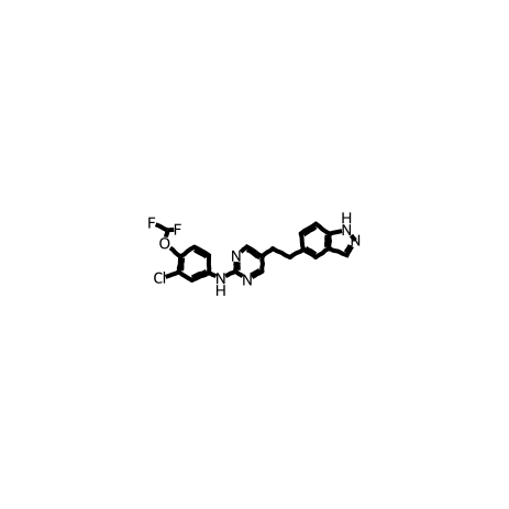 FC(F)Oc1ccc(Nc2ncc(CCc3ccc4[nH]ncc4c3)cn2)cc1Cl